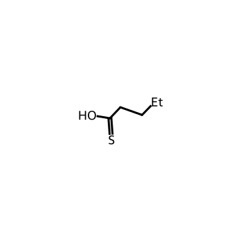 CCCCC(O)=S